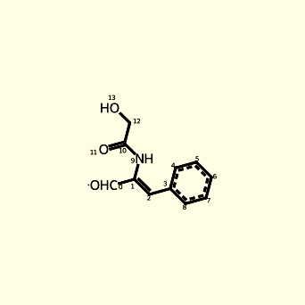 O=[C]C(=Cc1ccccc1)NC(=O)CO